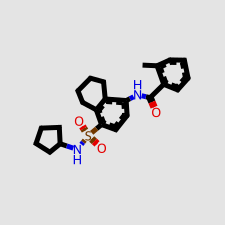 Cc1ccccc1C(=O)Nc1ccc(S(=O)(=O)NC2CCCC2)c2c1CCCC2